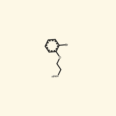 CCCCCCCCOc1ccccc1Br